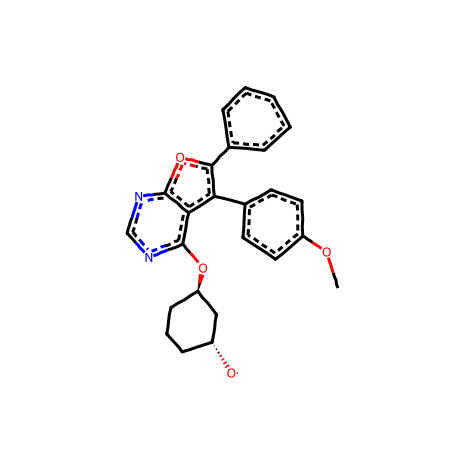 COc1ccc(-c2c(-c3ccccc3)oc3ncnc(O[C@@H]4CCC[C@@H]([O])C4)c23)cc1